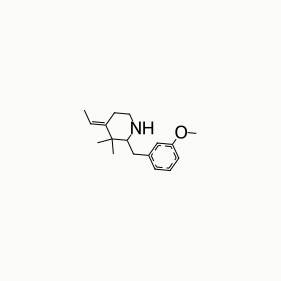 CC=C1CCNC(Cc2cccc(OC)c2)C1(C)C